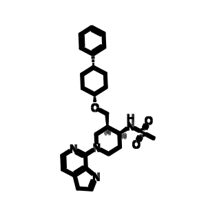 CS(=O)(=O)N[C@H]1CCN(c2nccc3c2N=CC3)C[C@H]1CO[C@H]1CC[C@@H](c2ccccc2)CC1